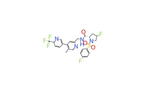 Cc1cnc(CNC(=O)[C@@H]2C[C@@H](F)CN2S(=O)(=O)c2ccc(F)cc2)cc1-c1ccc(C(F)(F)F)nc1